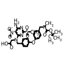 CN(Cc1ccc(Oc2ccc(CN(CC(=O)O)c3nc(S(C)(=O)=O)nc(N)c3[N+](=O)[O-])cc2)cc1)C(=O)OC(C)(C)C